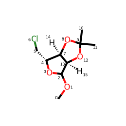 COC1O[C@H](CCl)[C@H]2OC(C)(C)O[C@@H]12